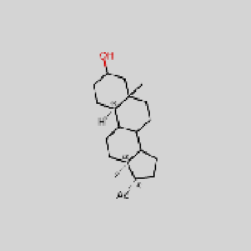 CC(=O)[C@H]1CCC2C3CCC4(C)CC(O)CC[C@@H]4C3CC[C@@]21C